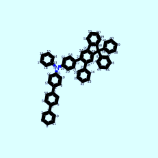 c1ccc(-c2ccc(-c3ccc(N(c4ccccc4)c4ccc(-c5cc6c(cc5-c5ccccc5)C(c5ccccc5)(c5ccccc5)c5ccccc5-6)cc4)cc3)cc2)cc1